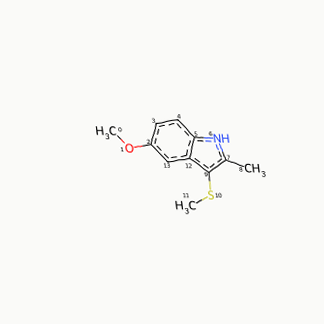 COc1ccc2[nH]c(C)c(SC)c2c1